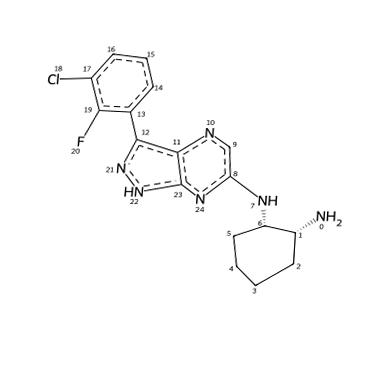 N[C@@H]1CCCC[C@@H]1Nc1cnc2c(-c3cccc(Cl)c3F)n[nH]c2n1